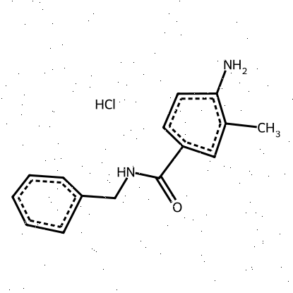 Cc1cc(C(=O)NCc2ccccc2)ccc1N.Cl